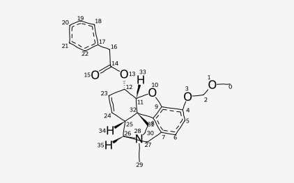 COCOc1ccc2c3c1O[C@H]1[C@@H](OC(=O)Cc4ccccc4)C=C[C@H]4[C@@H](C2)N(C)CC[C@@]341